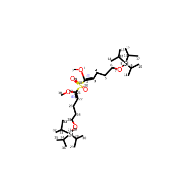 CO/C(=C\CCCO[Si](C(C)C)(C(C)C)C(C)C)S(=O)(=O)/C(=C/CCCO[Si](C(C)C)(C(C)C)C(C)C)OC